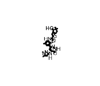 Cc1cc(NC(=O)c2cc3c(s2)CC(C)(C)C3O)c(F)c(-c2cc(Nc3cc(C)n(C)n3)c(=O)[nH]n2)c1